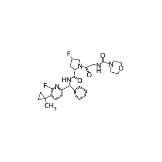 CC1(c2ccc(C(NC(=O)C3CC(F)CN3C(=O)CNC(=O)N3CCOCC3)c3ccccc3)nc2F)CC1